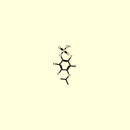 CC(C)Oc1c(F)c(F)c(OS(=O)(=O)O)c(F)c1F